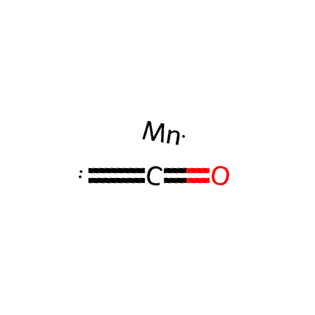 [C]=C=O.[Mn]